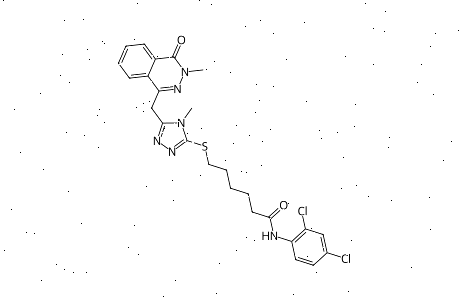 Cn1c(Cc2nn(C)c(=O)c3ccccc23)nnc1SCCCCCC(=O)Nc1ccc(Cl)cc1Cl